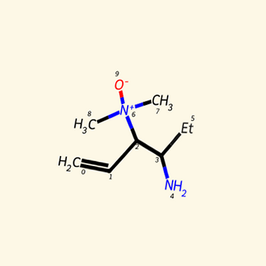 C=CC(C(N)CC)[N+](C)(C)[O-]